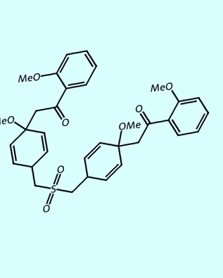 COc1ccccc1C(=O)CC1(OC)C=CC(CS(=O)(=O)CC2C=CC(CC(=O)c3ccccc3OC)(OC)C=C2)C=C1